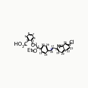 CCOC(COc1ccccc1C(=O)O)c1ccc(/C=C/c2ccc3ccc(Cl)cc3n2)cc1